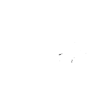 O=C(COc1ccc(Cl)cc1Cl)OCC(O)[C@H]1O[C@H](O)[C@H](O)[C@H]1O